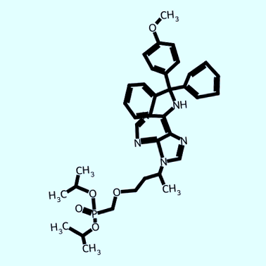 COc1ccc(C(Nc2ncnc3c2ncn3C(C)CCOCP(=O)(OC(C)C)OC(C)C)(c2ccccc2)c2ccccc2)cc1